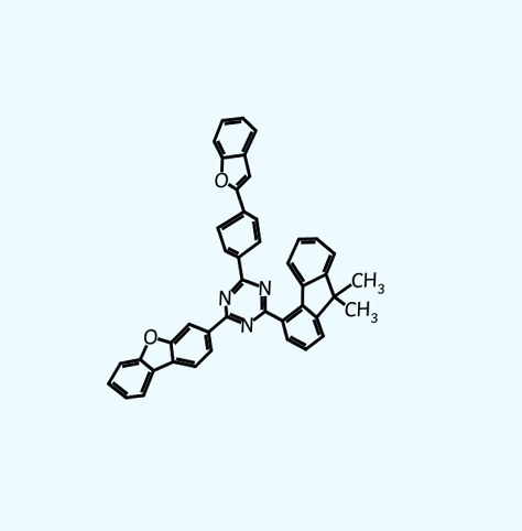 CC1(C)c2ccccc2-c2c(-c3nc(-c4ccc(-c5cc6ccccc6o5)cc4)nc(-c4ccc5c(c4)oc4ccccc45)n3)cccc21